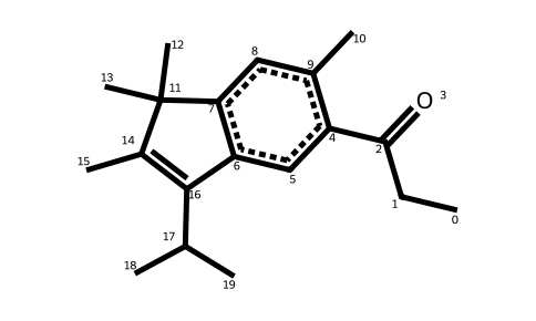 CCC(=O)c1cc2c(cc1C)C(C)(C)C(C)=C2C(C)C